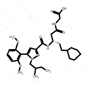 CCC(C)Cn1nc(C(=O)N[C@@H](CCC2CCCCC2)CC(=O)NCC(=O)O)cc1-c1c(OC)cccc1OC